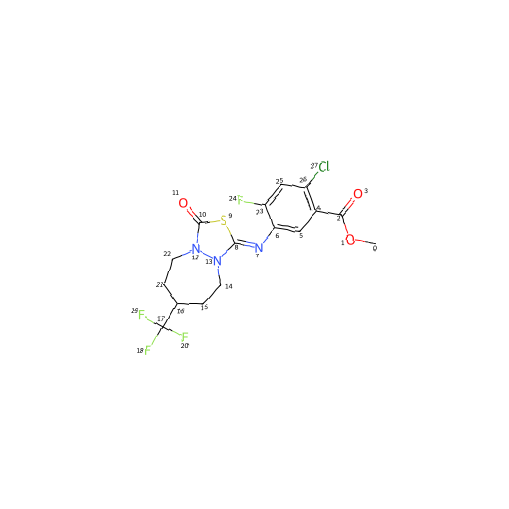 COC(=O)c1cc(N=c2sc(=O)n3n2CCC(C(F)(F)F)CC3)c(F)cc1Cl